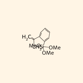 C=C(C)c1ccccc1[Si](OC)(OC)OC